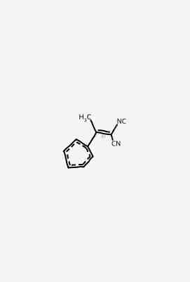 [C-]#[N+]/C(C#N)=C(\C)c1ccccc1